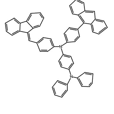 C(=C1c2ccccc2-c2ccccc21)c1ccc(N(c2ccc(-c3c4ccccc4cc4ccccc34)cc2)c2ccc(N(c3ccccc3)c3ccccc3)cc2)cc1